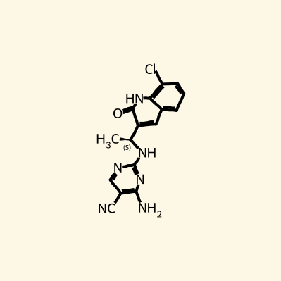 C[C@H](Nc1ncc(C#N)c(N)n1)c1cc2cccc(Cl)c2[nH]c1=O